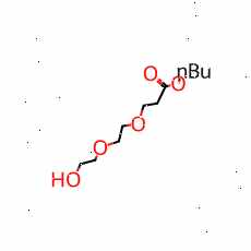 CCCCOC(=O)CCOCCOCCO